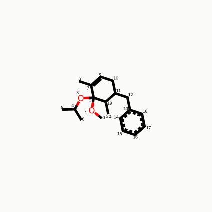 COC1(OC(C)C)C(C)=CCC(Cc2ccccc2)C1C